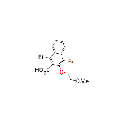 CCc1c(C(=O)O)c(OCCOC)c(Br)c2ccccc12